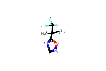 CC(C)(c1n[c]no1)C(F)(F)F